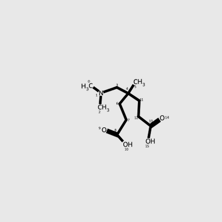 CN(C)CC(C)(CCC(=O)O)CCC(=O)O